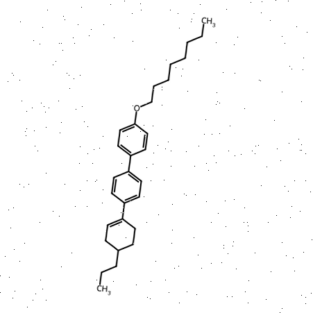 CCCCCCCCOc1ccc(-c2ccc(C3=CCC(CCC)CC3)cc2)cc1